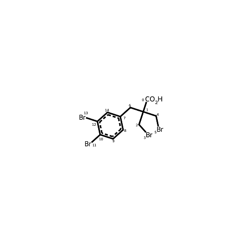 O=C(O)C(CBr)(CBr)Cc1ccc(Br)c(Br)c1